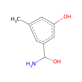 Cc1cc(O)cc(C(N)O)c1